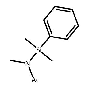 CC(=O)N(C)[Si](C)(C)c1ccccc1